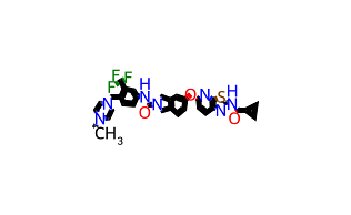 CCN1CCN(Cc2ccc(NC(=O)N3Cc4ccc(Oc5ccc6nc(NC(=O)C7CC7)sc6n5)cc4C3)cc2C(F)(F)F)CC1